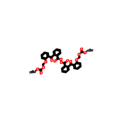 CCCCOC(=O)OCOc1ccccc1C(=O)c1ccccc1C(=O)OOC(=O)c1ccccc1C(=O)c1ccccc1OCOC(=O)OCCCC